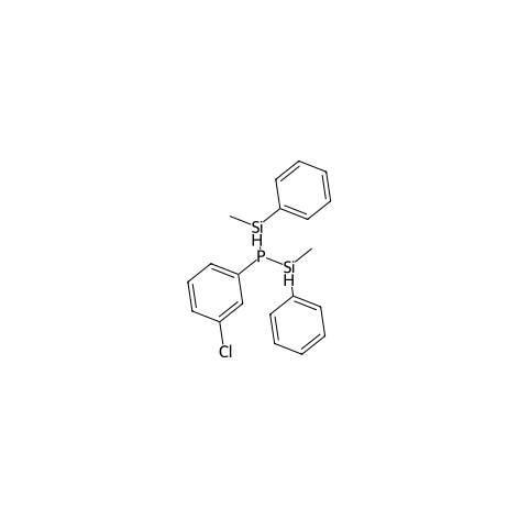 C[SiH](c1ccccc1)P(c1cccc(Cl)c1)[SiH](C)c1ccccc1